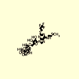 CSCCNc1nc(SCCC(F)(F)F)nc2c1ncn2[C@@H]1OC(COP(=O)(O)OP(=O)(O)C(Cl)(Cl)P(=O)(O)O)[C@@H](O)[C@H]1O